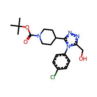 CC(C)(C)OC(=O)N1CCC(c2nnc(CO)n2-c2ccc(Cl)cc2)CC1